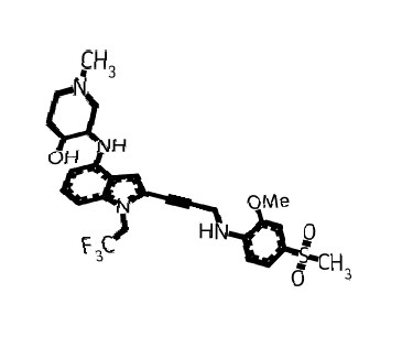 COc1cc(S(C)(=O)=O)ccc1NCC#Cc1cc2c(NC3CN(C)CCC3O)cccc2n1CC(F)(F)F